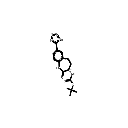 CC(C)(C)OC(=O)N[C@H]1CCc2cc(-c3nnn[nH]3)ccc2NC1=O